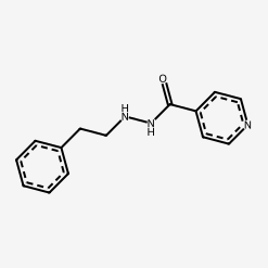 O=C(NNCCc1ccccc1)c1ccncc1